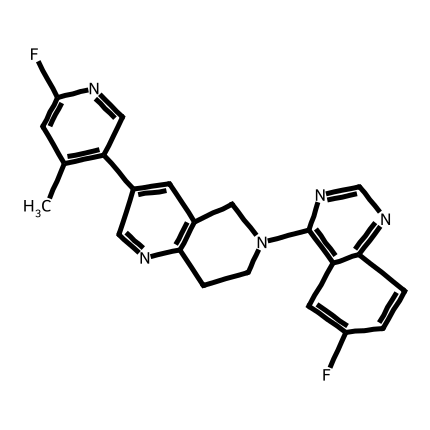 Cc1cc(F)ncc1-c1cnc2c(c1)CN(c1ncnc3ccc(F)cc13)CC2